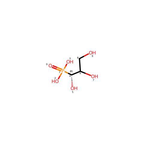 O=P(O)(O)[C@@H](O)C(O)CO